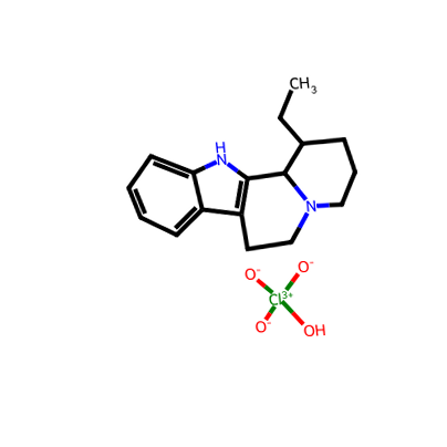 CCC1CCCN2CCc3c([nH]c4ccccc34)C12.[O-][Cl+3]([O-])([O-])O